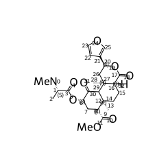 CN[C@@H](C)C(=O)O[C@H]1C[C@@H](C(=O)OC)[C@]2(C)CC[C@H]3C(=O)O[C@H](c4ccoc4)C[C@]3(C)C2C1=O